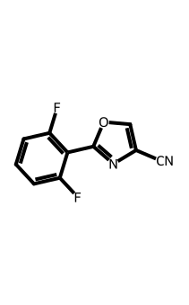 N#Cc1coc(-c2c(F)cccc2F)n1